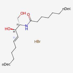 Br.CCCCCCCCCCCCC/C=C/[C@@H](O)[C@H](CO)NC(=O)CCCCCCCCCCCCCCC